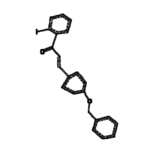 O=C(C=Cc1ccc(OCc2ccccc2)cc1)c1ccccc1I